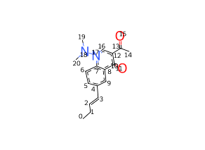 CC/C=C/c1ccc2c(c1)c(=O)c(C(C)=O)cn2N(C)C